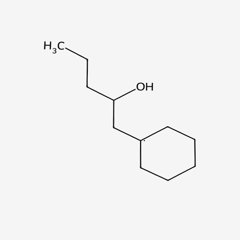 CCCC(O)C[C]1CCCCC1